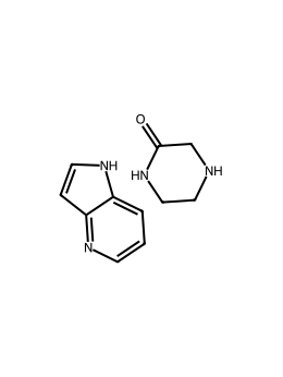 O=C1CNCCN1.c1cnc2cc[nH]c2c1